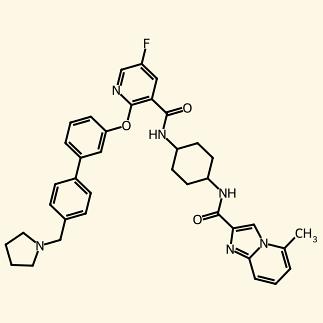 Cc1cccc2nc(C(=O)NC3CCC(NC(=O)c4cc(F)cnc4Oc4cccc(-c5ccc(CN6CCCC6)cc5)c4)CC3)cn12